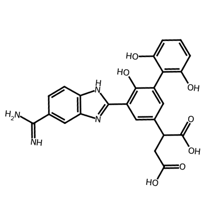 N=C(N)c1ccc2[nH]c(-c3cc(C(CC(=O)O)C(=O)O)cc(-c4c(O)cccc4O)c3O)nc2c1